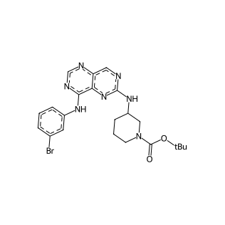 CC(C)(C)OC(=O)N1CCCC(Nc2ncc3ncnc(Nc4cccc(Br)c4)c3n2)C1